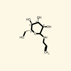 C=CCNC1O[C@H](CO)[C@@H](O)[C@H](O)[C@H]1O